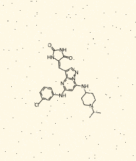 CC(C)N1CCC(Nc2cc(Nc3cccc(Cl)c3)nc3c(/C=C4/NC(=O)NC4=O)cnn23)CC1